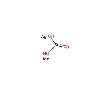 O=[Se](O)O.[Ag].[Mo]